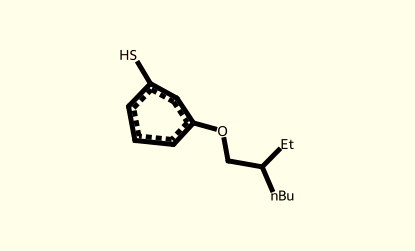 CCCCC(CC)COc1cccc(S)c1